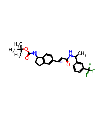 CC(NC(=O)/C=C/c1ccc2c(c1)CCC2NC(=O)OC(C)(C)C)c1cccc(C(F)(F)F)c1